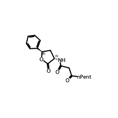 CCCCCC(=O)CC(=O)N[C@H]1C[C@H](c2ccccc2)OC1=O